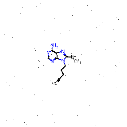 C#CCCCn1c(BC)nc2c(N)ncnc21